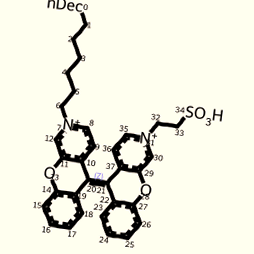 CCCCCCCCCCCCCCCC[n+]1ccc2c(c1)Oc1ccccc1/C2=C1\c2ccccc2Oc2c[n+](CCS(=O)(=O)O)ccc21